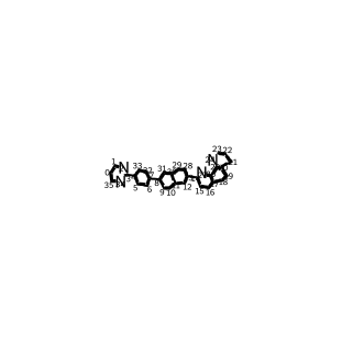 c1cnc(-c2ccc(-c3ccc4cc(-c5ccc6ccc7cccnc7c6n5)ccc4c3)cc2)nc1